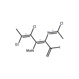 C=C(I)C(/N=C(\C)Cl)=C(NC)/C(Cl)=C(/C)CC